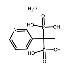 CC(c1cccnc1)(P(=O)(O)O)P(=O)(O)O.O